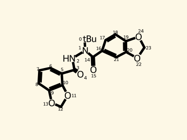 CC(C)(C)N(NC(=O)c1cccc2c1OCO2)C(=O)c1ccc2c(c1)OCO2